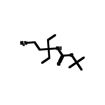 CCC(CC)(CCN)NC(=O)OC(C)(C)C